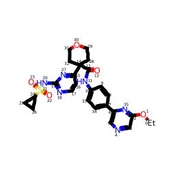 CCOc1cncc(-c2ccc(NC(=O)C3(c4ccnc(NS(=O)(=O)C5CC5)n4)CCOCC3)cc2)n1